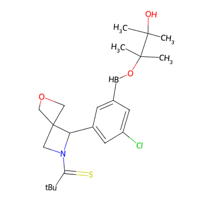 CC(C)(C)C(=S)N1CC2(COC2)C1c1cc(Cl)cc(BOC(C)(C)C(C)(C)O)c1